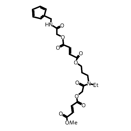 CCN(CCCOC(=O)/C=C/C(=O)OCC(=O)NCc1ccccc1)C(=O)COC(=O)/C=C/C(=O)OC